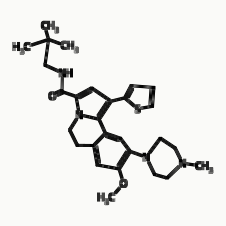 COc1cc2c(cc1N1CCN(C)CC1)-c1c(-c3cccs3)cc(C(=O)NCC(C)(C)C)n1CC2